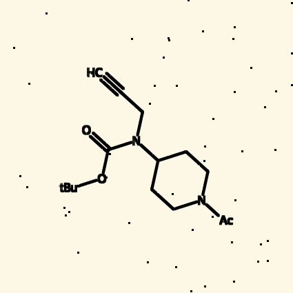 C#CCN(C(=O)OC(C)(C)C)C1CCN(C(C)=O)CC1